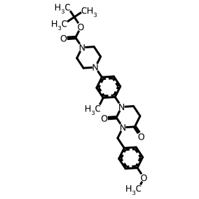 COc1ccc(CN2C(=O)CCN(c3ccc(N4CCN(C(=O)OC(C)(C)C)CC4)cc3C)C2=O)cc1